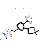 CN(C)S(=O)(=O)CCc1ccc(C(N)=O)c(C2=CCC(C)(C)CC2)c1